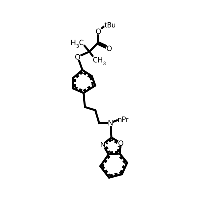 CCCN(CCCc1ccc(OC(C)(C)C(=O)OC(C)(C)C)cc1)c1nc2ccccc2o1